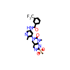 Cc1ncc(NC(=O)c2cccc(C(F)(F)F)c2)cc1N1Cc2cnc(S(C)(=O)=O)nc2N(C)C1=O